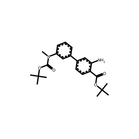 CN(C(=O)OC(C)(C)C)c1cccc(-c2ccc(C(=O)OC(C)(C)C)c(N)c2)c1